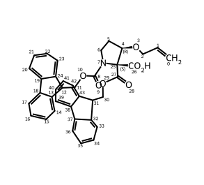 C=CCO[C@@H]1CCN(C(=O)OCC2c3ccccc3-c3ccccc32)[C@@]1(C(=O)O)C(=O)OCC1c2ccccc2-c2ccccc21